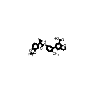 Cc1ccc(NC(=O)C2(c3ccc4c(c3)OC(F)(F)O4)CC2)cc1-c1cc2c(c(C(=O)O)c1)OCC2